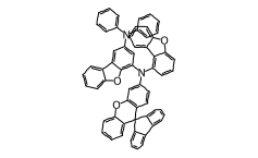 c1ccc(N(c2ccccc2)c2cc(N(c3ccc4c(c3)Oc3ccccc3C43c4ccccc4-c4ccccc43)c3cccc4oc5ccccc5c34)c3oc4ccccc4c3c2)cc1